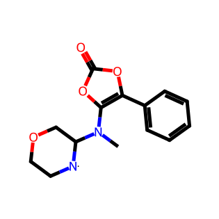 CN(c1oc(=O)oc1-c1ccccc1)C1COCC[N]1